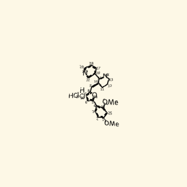 COc1ccc(-c2ccc(C=C3CCCN=C3c3cccnc3)o2)c(OC)c1.Cl.Cl